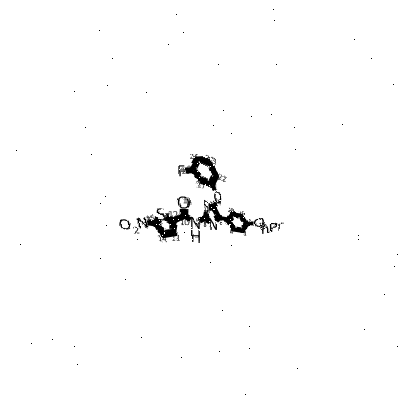 CCCOc1ccc(-c2nc(NC(=O)c3ccc([N+](=O)[O-])s3)sc2Oc2cccc(F)c2)cc1